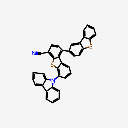 N#Cc1ccc(-c2ccc3sc4ccccc4c3c2)c2c1sc1c(-n3c4ccccc4c4ccccc43)cccc12